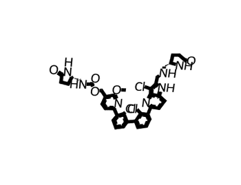 COc1nc(-c2cccc(-c3cccc(-c4ccc5[nH]c(CNC[C@@H]6CCC(=O)N6)c(Cl)c5n4)c3Cl)c2Cl)ccc1COC(=O)NC[C@@H]1CCC(=O)N1